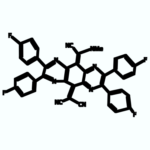 CNC(C#N)=c1c2nc(-c3ccc(F)cc3)c(-c3ccc(F)cc3)nc2c(=C(C#N)C#N)c2nc(-c3ccc(F)cc3)c(-c3ccc(F)cc3)nc12